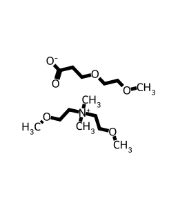 COCCOCCC(=O)[O-].COCC[N+](C)(C)CCOC